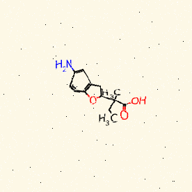 CCC(C)(C(=O)O)C1Cc2cc(N)ccc2O1